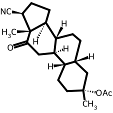 CC(=O)O[C@]1(C)CC[C@H]2[C@H](CC[C@@H]3[C@@H]2CC(=O)[C@]2(C)[C@@H](C#N)CC[C@@H]32)C1